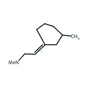 CNC/C=C1\CCCC(C)C1